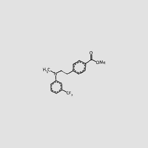 COC(=O)c1ccc(CCN(C)c2cccc(C(F)(F)F)c2)cc1